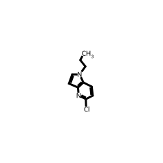 CCCn1ccc2nc(Cl)ccc21